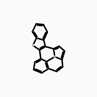 c1ccc2c(c1)sc1c3cccc4ccc5ccc(c21)n5c43